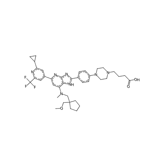 COCC1(CN(C)c2cc(-c3cc(C4CC4)nc(C(F)(F)F)c3)nc3nc(-c4ccc(N5CCN(CCCC(=O)O)CC5)cc4)[nH]c23)CCCC1